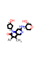 CC(=O)c1c(C)c2cnc(N[C@@H]3CCOC[C@H]3O)cc2n([C@H]2CC[C@@H](O)C2)c1=O